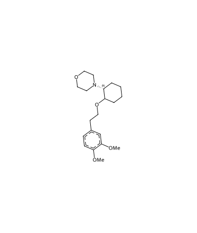 COc1ccc(CCOC2CCCC[C@H]2N2CCOCC2)cc1OC